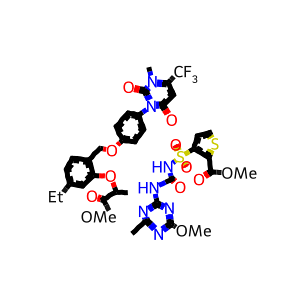 CCc1ccc(COc2ccc(-n3c(=O)cc(C(F)(F)F)n(C)c3=O)cc2)c(OC(C)C(=O)OC)c1.COC(=O)c1sccc1S(=O)(=O)NC(=O)Nc1nc(C)nc(OC)n1